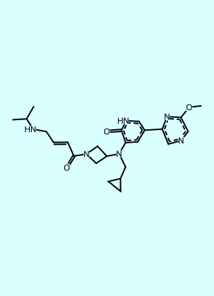 COc1cncc(-c2c[nH]c(=O)c(N(CC3CC3)C3CN(C(=O)/C=C/CNC(C)C)C3)c2)n1